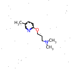 Cc1ccc(OCCCN(C)C)nc1